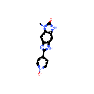 Cn1c(=O)[nH]c2cc3[nH]c(-c4cc[n+]([O-])cc4)nc3cc21